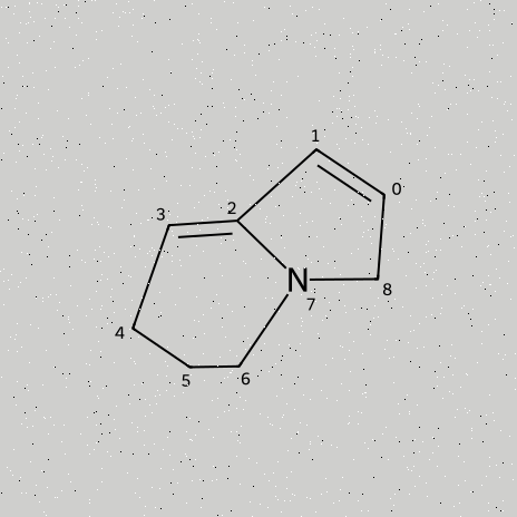 C1=CC2=CCCCN2C1